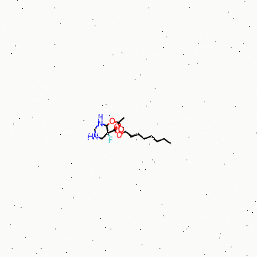 CCCCCCCCOC(=O)C1(F)CNCNC1OC(C)=O